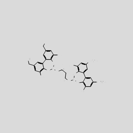 COc1cc(C(C)(C)C)c2op(O[C@H](C)C[C@@H](C)Op3oc4c(C(C)(C)C)cc(CO)cc4c4cc(CO)cc(C(C)(C)C)c4o3)oc3c(C(C)(C)C)cc(OC)cc3c2c1